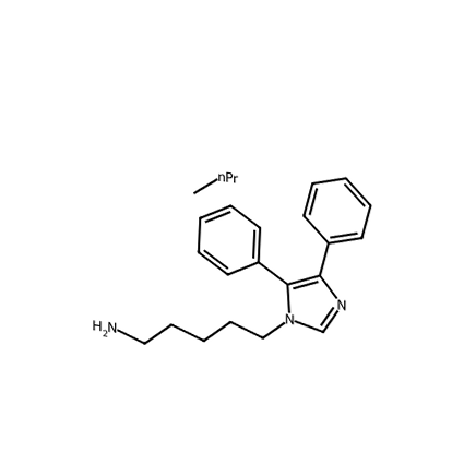 CCCC.NCCCCCn1cnc(-c2ccccc2)c1-c1ccccc1